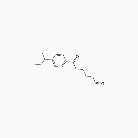 CCC(C)c1ccc(C(=O)CCCCC=O)cc1